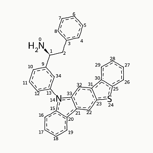 N[C@@H](Cc1ccccc1)c1cccc(-n2c3ccccc3c3cc4sc5ccccc5c4cc32)c1